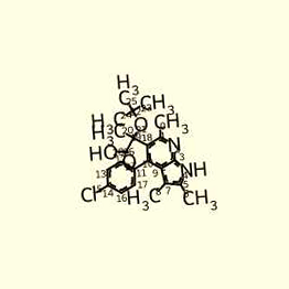 Cc1nc2[nH]c(C)c(C)c2c(-c2ccc(Cl)cc2)c1C(C)(OC(C)(C)C)C(=O)O